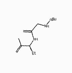 C=C(CNCCCC)NC(CC)C(=C)C